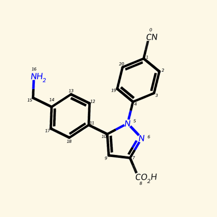 N#Cc1ccc(-n2nc(C(=O)O)cc2-c2ccc(CN)cc2)cc1